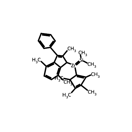 CC1=C(C)C(C)[C]([Zr]([CH]2C(C)=C(c3ccccc3)c3c(C)ccc(C)c32)=[Si](C)C)=C1C